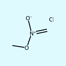 C=[N+]([O-])OC.[C]